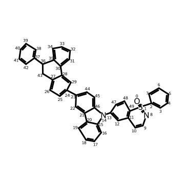 O=S1(c2ccccc2)=NC=Cc2cc(-n3c4ccccc4c4cc(-c5ccc6c(c5)-c5ccccc5C(c5ccccc5)C6)ccc43)ccc21